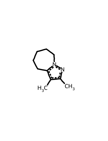 Cc1nn2c(c1C)CCCCC2